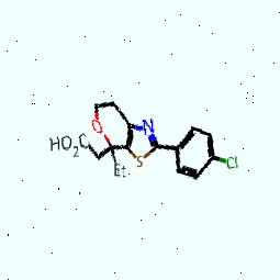 CCC1(CC(=O)O)OCCc2nc(-c3ccc(Cl)cc3)sc21